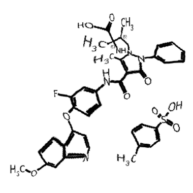 COc1ccc2c(Oc3ccc(NC(=O)c4c(C)n(C[C@H](C)[C@](C)(N)C(=O)O)n(-c5ccccc5)c4=O)cc3F)ccnc2c1.Cc1ccc(S(=O)(=O)O)cc1